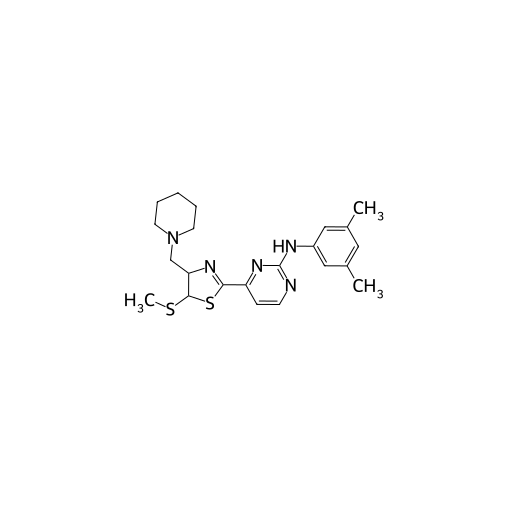 CSC1SC(c2ccnc(Nc3cc(C)cc(C)c3)n2)=NC1CN1CCCCC1